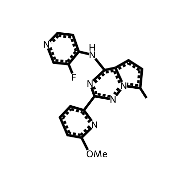 COc1cccc(-c2nc(Nc3ccncc3F)c3ccc(C)n3n2)n1